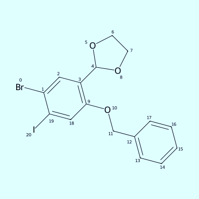 Brc1cc(C2OCCO2)c(OCc2ccccc2)cc1I